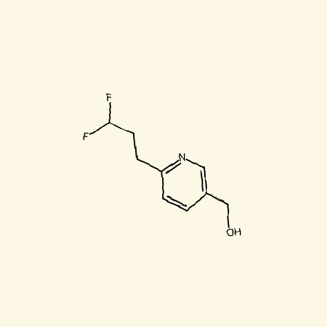 OCc1ccc(CCC(F)F)nc1